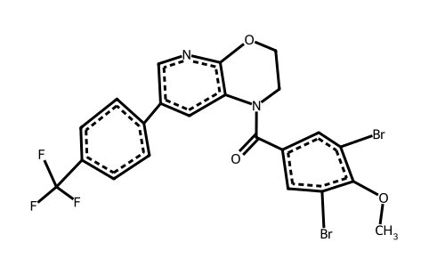 COc1c(Br)cc(C(=O)N2CCOc3ncc(-c4ccc(C(F)(F)F)cc4)cc32)cc1Br